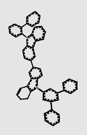 C1=Cc2c(n(-c3cc(-c4ccccc4)cc(-c4ccccc4)c3)c3ccc(-c4ccc5c(c4)c4ccccc4n5-c4ccccc4-c4ccccc4)cc23)CC1